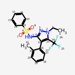 CCn1nc(NS(=O)(=O)c2ccccc2)c(-c2ccccc2C)c1C(F)(F)F